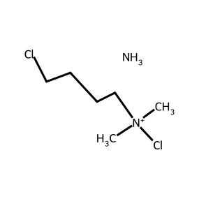 C[N+](C)(Cl)CCCCCl.N